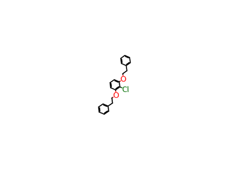 Clc1c(OCCc2ccccc2)cccc1OCCc1ccccc1